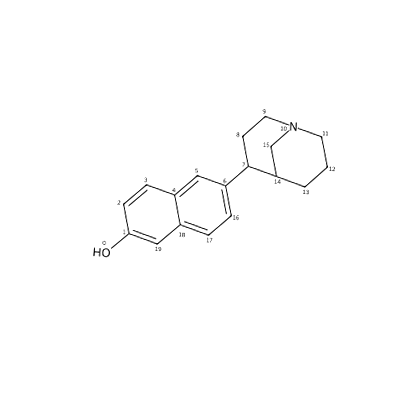 Oc1ccc2cc(C3CCN4CCCC3C4)ccc2c1